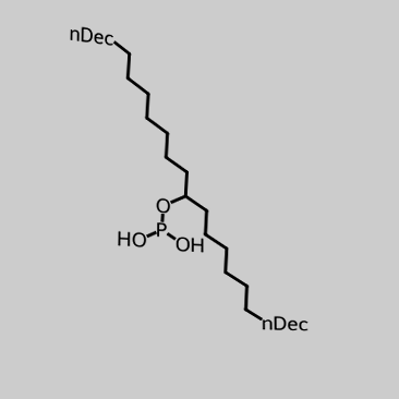 CCCCCCCCCCCCCCCCCC(CCCCCCCCCCCCCCCC)OP(O)O